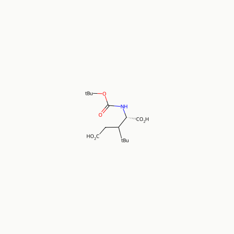 CC(C)(C)OC(=O)N[C@H](C(=O)O)C(CC(=O)O)C(C)(C)C